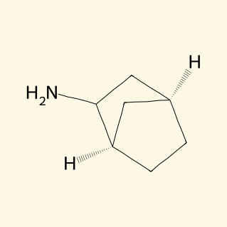 NC1C[C@H]2CC[C@@H]1C2